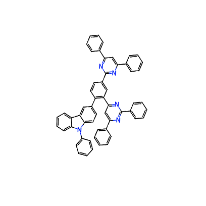 c1ccc(-c2cc(-c3ccccc3)nc(-c3ccc(-c4ccc5c(c4)c4ccccc4n5-c4ccccc4)c(-c4cc(-c5ccccc5)nc(-c5ccccc5)n4)c3)n2)cc1